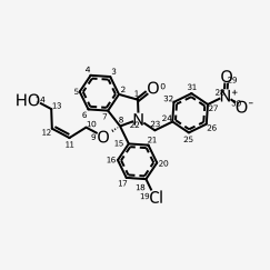 O=C1c2ccccc2[C@](OC/C=C\CO)(c2ccc(Cl)cc2)N1Cc1ccc([N+](=O)[O-])cc1